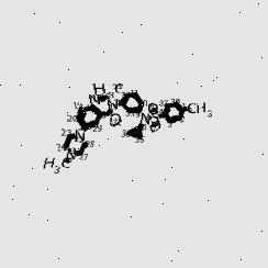 Cc1ccc(S(=O)(=O)N(c2ccc(C)c(-n3cnc4ccc(N5CCN(C)CC5)cc4c3=O)c2)C2CC2)cc1